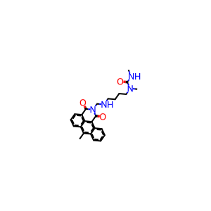 CNC(=O)N(C)CCCCNCN1C(=O)c2cccc3c(C)c4ccccc4c(c23)C1=O